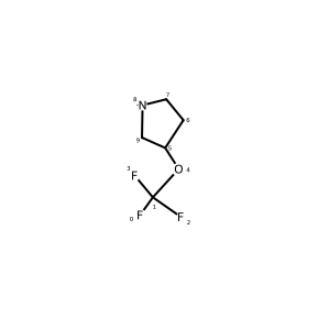 FC(F)(F)OC1CC[N]C1